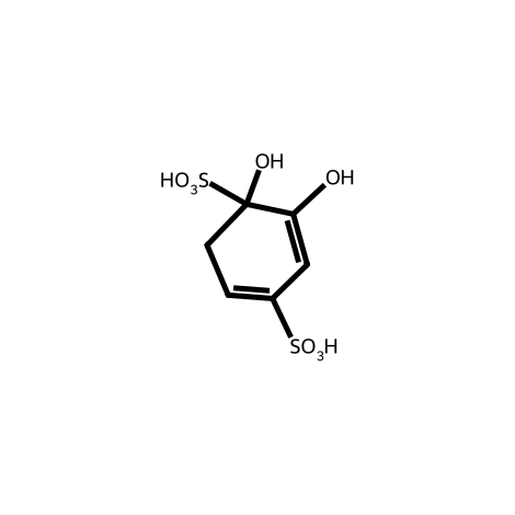 O=S(=O)(O)C1=CCC(O)(S(=O)(=O)O)C(O)=C1